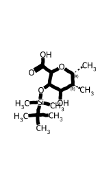 C[C@@H]1C(O)C(O[Si](C)(C)C(C)(C)C)C(C(=O)O)O[C@@H]1C